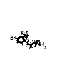 CC(COc1ccc(Br)cc1C(F)(F)F)CC(C)(C)N